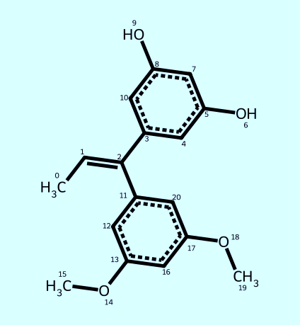 CC=C(c1cc(O)cc(O)c1)c1cc(OC)cc(OC)c1